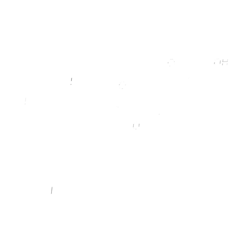 CC(C)(CC(=O)O)OC(=O)c1cc(I)cc(I)c1I